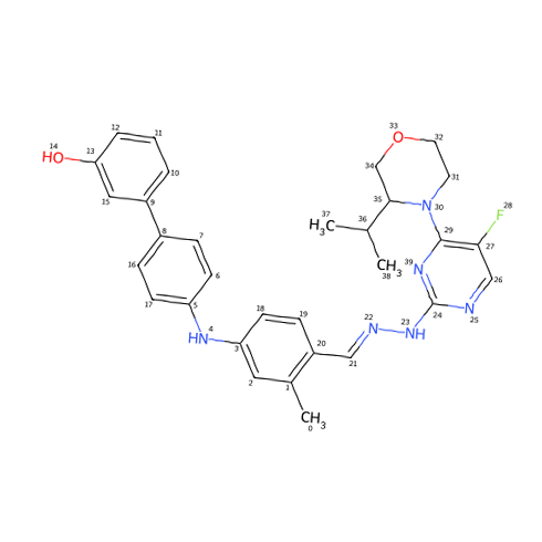 Cc1cc(Nc2ccc(-c3cccc(O)c3)cc2)ccc1/C=N/Nc1ncc(F)c(N2CCOCC2C(C)C)n1